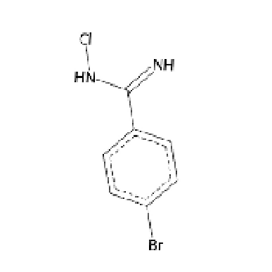 N=C(NCl)c1ccc(Br)cc1